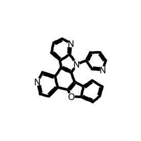 c1cncc(-n2c3ncccc3c3c4cnccc4c4oc5ccccc5c4c32)c1